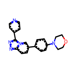 c1cc(-c2nnc3ccc(-c4ccc(N5CCOCC5)cc4)cn23)ccn1